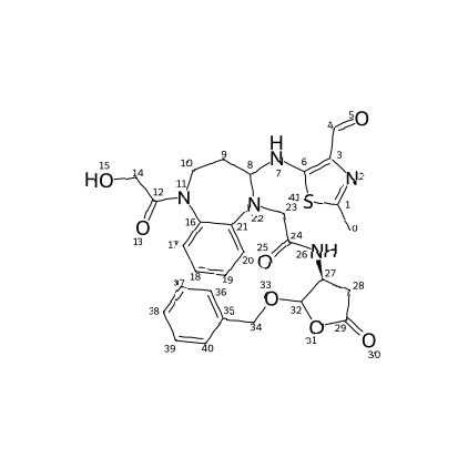 Cc1nc(C=O)c(NC2CCN(C(=O)CO)c3ccccc3N2CC(=O)N[C@H]2CC(=O)OC2OCc2ccccc2)s1